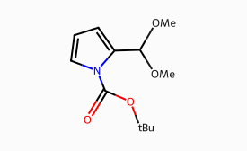 COC(OC)c1cccn1C(=O)OC(C)(C)C